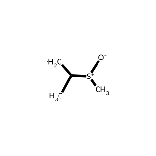 [CH2]C(C)[S+](C)[O-]